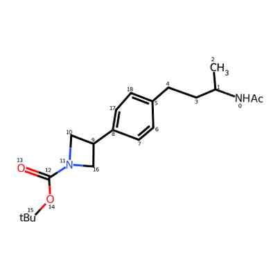 CC(=O)NC(C)CCc1ccc(C2CN(C(=O)OC(C)(C)C)C2)cc1